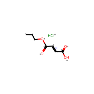 CCCOC(=O)/C=C/C(=O)O.Cl